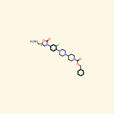 CC(=O)NC[C@@H]1CN(c2ccc(N3CCN(C4CCN(C(=O)OCc5ccccc5)CC4)CC3)c(F)c2)C(=O)O1